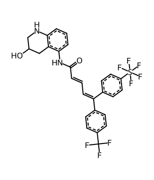 O=C(C=CC=C(c1ccc(C(F)(F)F)cc1)c1ccc(S(F)(F)(F)(F)F)cc1)Nc1cccc2c1CC(O)CN2